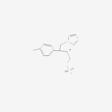 C[C@H](OS(C)(=O)=O)[C@H](C)[C@](O)(Cn1cncn1)c1ccc(Cl)cc1